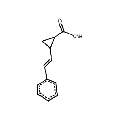 COC(=O)C1CC1/C=C/c1ccccc1